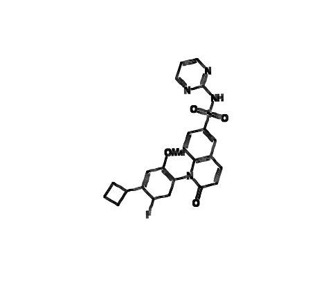 COC1=C(n2c(=O)ccc3cc(S(=O)(=O)Nc4ncccn4)ccc32)CC(F)C(C2CCC2)=C1